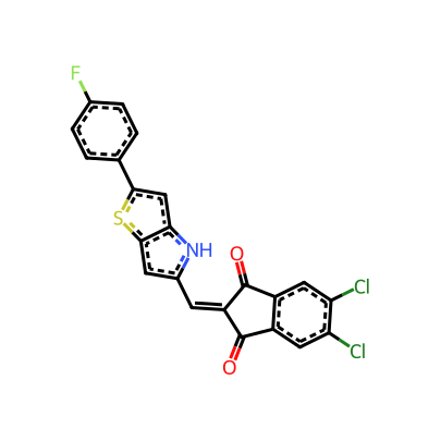 O=C1C(=Cc2cc3sc(-c4ccc(F)cc4)cc3[nH]2)C(=O)c2cc(Cl)c(Cl)cc21